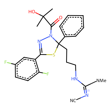 CN/C(=N/C#N)NCCCC1(c2ccccc2)SC(c2cc(F)ccc2F)=NN1C(=O)C(C)(C)O